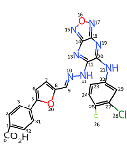 O=C(O)c1ccc(-c2ccc(/C=N/Nc3nc4nonc4nc3Nc3ccc(F)c(Cl)c3)o2)cc1